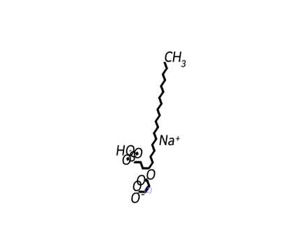 CCCCCCCCCCCCCCCCCCCC(CCCS(=O)(=O)O)OC(=O)/C=C\C(=O)[O-].[Na+]